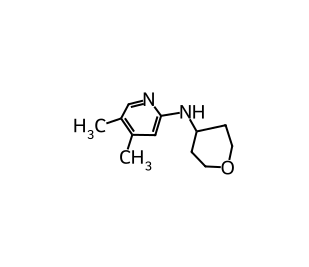 Cc1cnc(NC2CCOCC2)cc1C